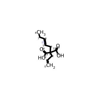 C=CCC(C/C=C/CC)(C(=O)O)C(=O)O